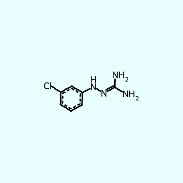 NC(N)=NNc1cccc(Cl)c1